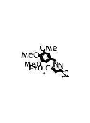 CCOC(=O)c1cc(S(C)(C)C)nn1Cc1cc(OC)c(OC)c(OC)c1